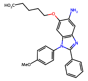 COc1ccc(-n2c(-c3ccccc3)nc3cc(N)c(OCCCCC(=O)O)cc32)cc1